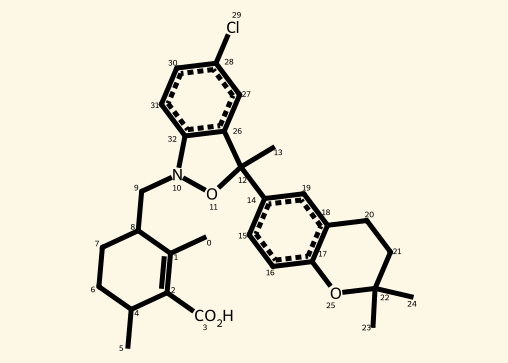 CC1=C(C(=O)O)C(C)CCC1CN1OC(C)(c2ccc3c(c2)CCC(C)(C)O3)c2cc(Cl)ccc21